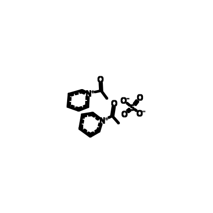 CC(=O)[n+]1ccccc1.CC(=O)[n+]1ccccc1.O=S(=O)([O-])[O-]